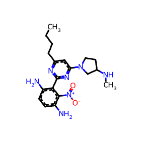 CCCCc1cc(N2CCC(NC)C2)nc(-c2c(N)ccc(N)c2[N+](=O)[O-])n1